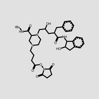 CC(C)(C)NC(=O)C1CN(CCCC(=O)ON2C(=O)CCC2=O)CCN1CC(O)CC(Cc1ccccc1)C(=O)NC1c2ccccc2CC1O